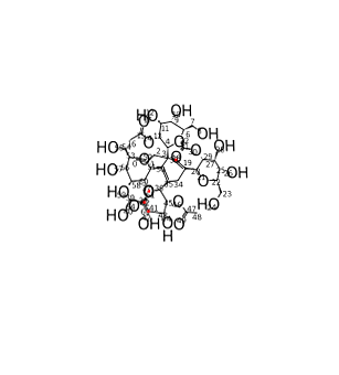 C=CCC1([C@@H]2O[C@H](CO)[C@@H](O)[C@H](O)[C@H]2OC(C)=O)C=C([C@@H]2O[C@H](CO)[C@@H](O)[C@H](O)[C@H]2OC(C)=O)CC([C@@H]2O[C@H](CO)[C@@H](O)[C@H](O)[C@H]2OC(C)=O)=C1[C@@H]1O[C@H](CO)[C@@H](O)[C@H](O)[C@H]1OC(C)=O